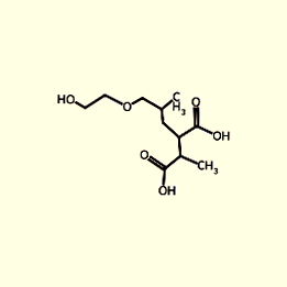 CC(COCCO)CC(C(=O)O)C(C)C(=O)O